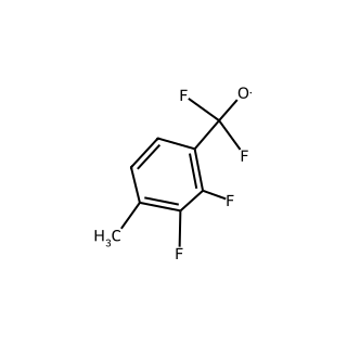 Cc1ccc(C([O])(F)F)c(F)c1F